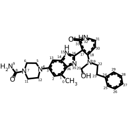 Cc1cc(N2CCN(C(N)=O)CC2)cc2[nH]c(-c3c(N(CO)CCc4ccccc4)cc[nH]c3=O)nc12